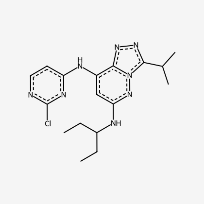 CCC(CC)Nc1cc(Nc2ccnc(Cl)n2)c2nnc(C(C)C)n2n1